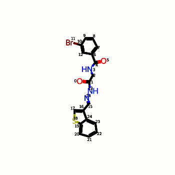 O=C(CNC(=O)c1cccc(Br)c1)N/N=C/c1csc2ccccc12